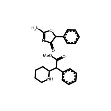 COC(=O)C(c1ccccc1)C1CCCCN1.NC1=NC(=O)C(c2ccccc2)O1